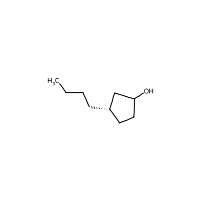 CCCC[C@H]1CCC(O)C1